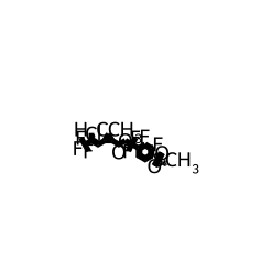 CCS(=O)(=O)c1ccc(C(F)(F)OC(=O)C2C(C=C(Cl)C(F)(F)F)C2(C)C)c(F)c1F